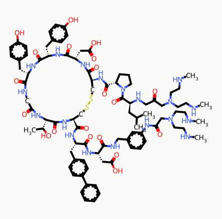 CNCCN(CCNC)CC(=O)CN[C@@H](CC(C)C)C(=O)N1CCC[C@H]1C(=O)N[C@H]1CSSC[C@@H](C(=O)N[C@@H](Cc2ccc(-c3ccccc3)cc2)C(=O)N[C@@H](CC(=O)O)C(=O)NCc2cccc(NC(=O)CN(CCNC)CCNC)c2)NC(=O)[C@H](C(C)O)NC(=O)CNC(=O)[C@H](Cc2ccc(O)cc2)NC(=O)[C@H](Cc2ccc(O)cc2)NC(=O)[C@H](CC(=O)O)NC1=O